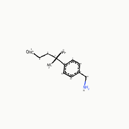 CC(C)C(C#N)(CCC=O)c1ccc(CN)cc1